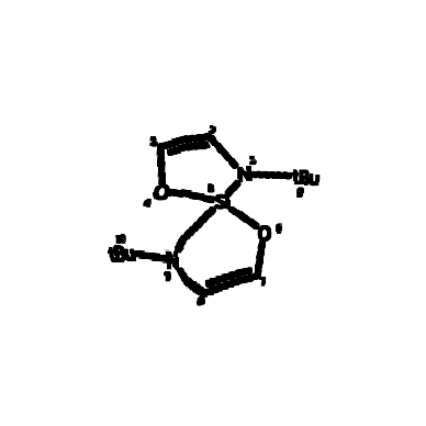 CC(C)(C)N1C=CO[Si]12OC=CN2C(C)(C)C